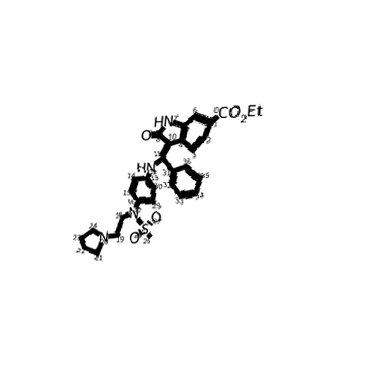 CCOC(=O)c1ccc2c(c1)NC(=O)/C2=C(\Nc1ccc(N(CCN2CCCC2)S(C)(=O)=O)cc1)c1ccccc1